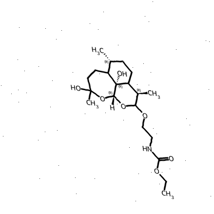 CCOC(=O)NCCOC1O[C@@H]2OC(C)(O)CCC3[C@H](C)CCC([C@H]1C)[C@]32O